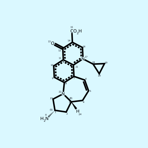 N[C@H]1C[C@H]2CC=Cc3c(ccc4c(=O)c(C(=O)O)cn(C5CC5)c34)N2C1